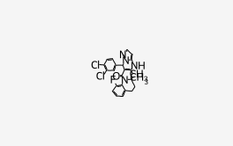 CC1=C(C(=O)N2c3c(F)cccc3CCC2C)C(c2ccc(Cl)c(Cl)c2)n2nccc2N1